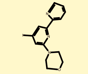 Ic1cc(-c2ccccn2)nc(N2CCOCC2)c1